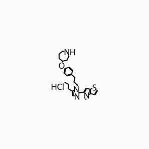 CCCc1cnc(-c2cc3sccc3n2C)n1CCCc1ccc(OC2CCCNCC2)cc1.Cl